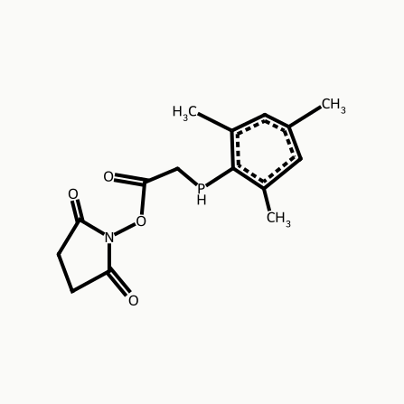 Cc1cc(C)c(PCC(=O)ON2C(=O)CCC2=O)c(C)c1